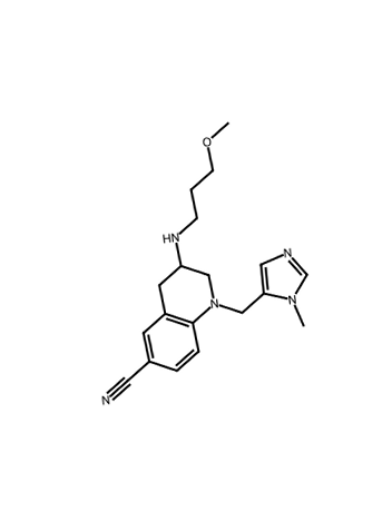 COCCCNC1Cc2cc(C#N)ccc2N(Cc2cncn2C)C1